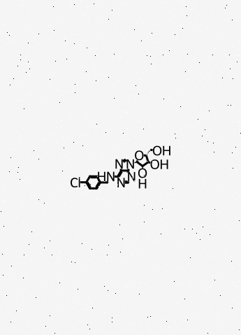 OC[C@H]1O[C@@H](n2cnc3c(NCc4ccc(Cl)cc4)ncnc32)[C@@H](O)C1O